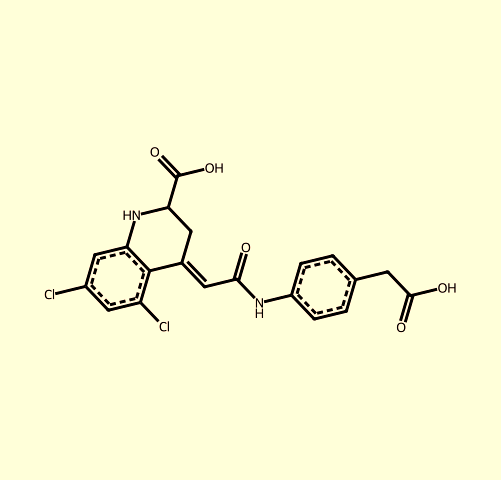 O=C(O)Cc1ccc(NC(=O)C=C2CC(C(=O)O)Nc3cc(Cl)cc(Cl)c32)cc1